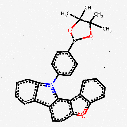 CC1(C)OB(c2ccc(-n3c4ccccc4c4ccc5oc6ccccc6c5c43)cc2)OC1(C)C